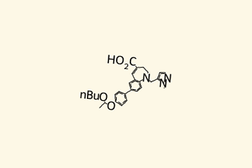 CCCCOC(C)Oc1ccc(-c2ccc3c(c2)C=C(C(=O)O)CCN3Cc2ccnn2C)cc1